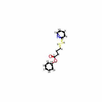 O=C(CCCSSc1ccccn1)Oc1ccccc1